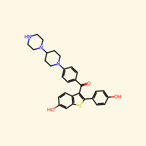 O=C(c1ccc(N2CCC(N3CCNCC3)CC2)cc1)c1c(-c2ccc(O)cc2)sc2cc(O)ccc12